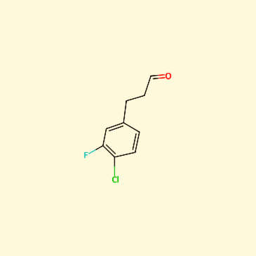 O=CCCc1ccc(Cl)c(F)c1